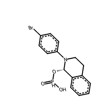 O=[PH](O)O[C@H]1c2ccccc2CCN1c1ccc(Br)cc1